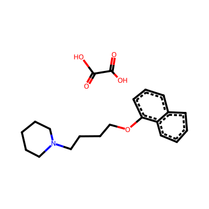 O=C(O)C(=O)O.c1ccc2c(OCCCCN3CCCCC3)cccc2c1